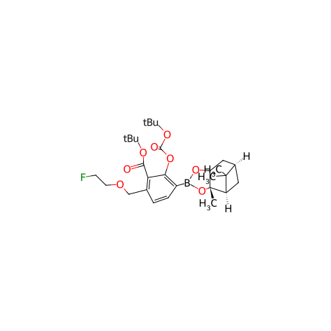 CC(C)(C)OC(=O)Oc1c(B2OC3C[C@H]4C[C@H](C4(C)C)[C@]3(C)O2)ccc(COCCF)c1C(=O)OC(C)(C)C